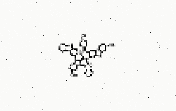 CC(C)(C)c1ccc(Nc2cc3c(cc2-c2c4c5c(c6cc(C(C)(C)C)ccc6n5-c5cc6c(cc5B4)oc4ccccc46)c4c2oc2ccccc24)sc2cc(C(C)(C)C)ccc23)cc1